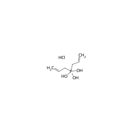 C=CCP(O)(O)(O)CC=C.Cl